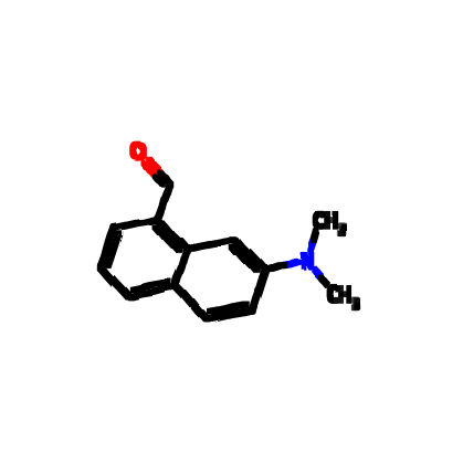 CN(C)c1ccc2cccc(C=O)c2c1